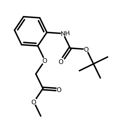 COC(=O)COc1ccccc1NC(=O)OC(C)(C)C